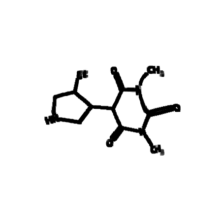 CCC1CNCC1C1C(=O)N(C)C(=O)N(C)C1=O